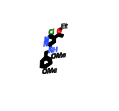 CCOC(C)c1cc(NCc2ccc(OC)cc2OC)nnc1Cl